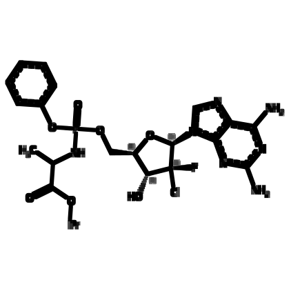 CC(C)OC(=O)C(C)NP(=O)(OC[C@H]1O[C@@H](n2cnc3c(N)nc(N)nc32)[C@](F)(Cl)[C@@H]1O)Oc1ccccc1